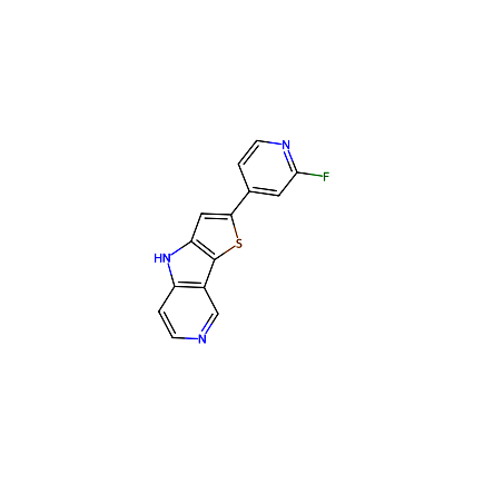 Fc1cc(-c2cc3[nH]c4ccncc4c3s2)ccn1